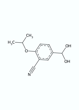 CC(C)Oc1ccc(C(O)O)cc1C#N